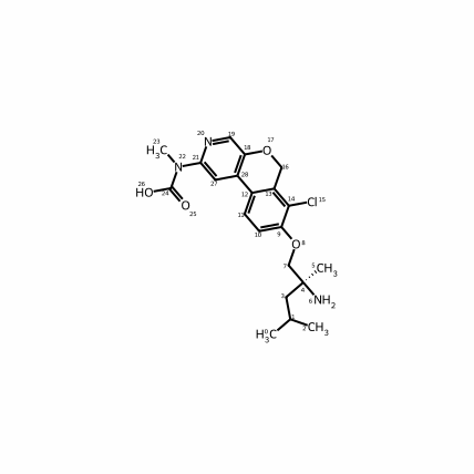 CC(C)C[C@](C)(N)COc1ccc2c(c1Cl)COc1cnc(N(C)C(=O)O)cc1-2